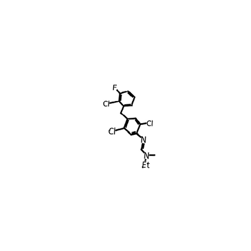 CCN(C)C=Nc1cc(Cl)c(Cc2cccc(F)c2Cl)cc1Cl